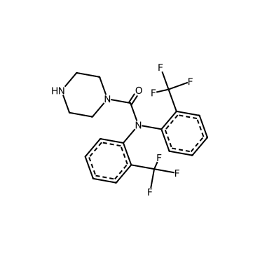 O=C(N1CCNCC1)N(c1ccccc1C(F)(F)F)c1ccccc1C(F)(F)F